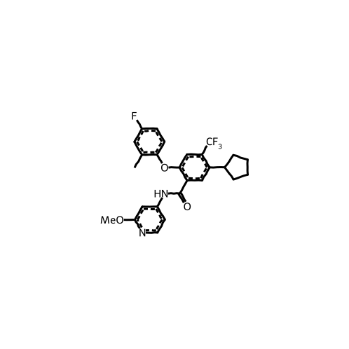 COc1cc(NC(=O)c2cc(C3CCCC3)c(C(F)(F)F)cc2Oc2ccc(F)cc2C)ccn1